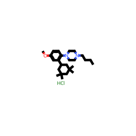 CCCCN1CCN(c2ccc(OC)cc2C2CC(C)(C)CC(C)(C)C2)CC1.Cl